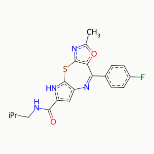 Cc1nc2c(o1)C(c1ccc(F)cc1)=Nc1cc(C(=O)NCC(C)C)[nH]c1S2